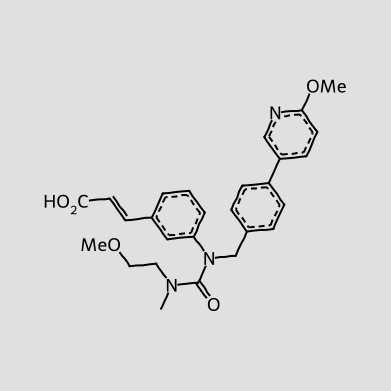 COCCN(C)C(=O)N(Cc1ccc(-c2ccc(OC)nc2)cc1)c1cccc(C=CC(=O)O)c1